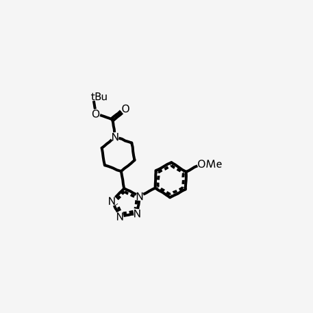 COc1ccc(-n2nnnc2C2CCN(C(=O)OC(C)(C)C)CC2)cc1